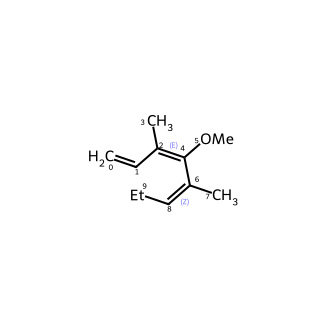 C=C/C(C)=C(OC)\C(C)=C/CC